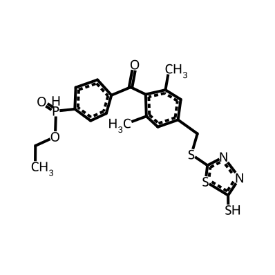 CCO[PH](=O)c1ccc(C(=O)c2c(C)cc(CSc3nnc(S)s3)cc2C)cc1